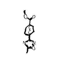 COC(=O)C12CCC(c3noc(C)n3)(CC1)CC2